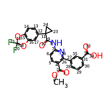 COC(=O)c1ccc(NC(=O)C2(c3ccc4c(c3)OC(F)(F)O4)CC2)nc1-c1cccc(C(=O)O)c1